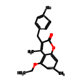 Cc1cc(OCC(=O)O)c2c(C)c(Cc3ccc(C(C)(C)C)cc3)c(=O)oc2c1